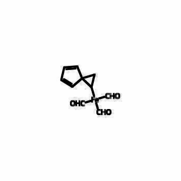 O=[CH][Fe]([CH]=O)([CH]=O)[CH]1CC12C=CC=C2